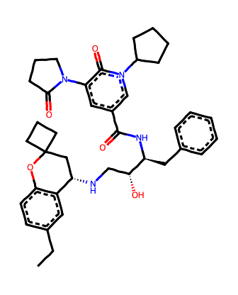 CCc1ccc2c(c1)[C@@H](NC[C@@H](O)[C@H](Cc1ccccc1)NC(=O)c1cc(N3CCCC3=O)c(=O)n(C3CCCC3)c1)CC1(CCC1)O2